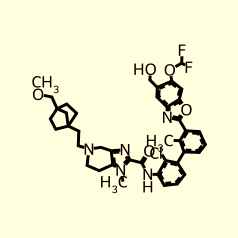 COCC12CCC(CCN3CCc4c(nc(C(=O)Nc5cccc(-c6cccc(-c7nc8cc(CO)c(OC(F)F)cc8o7)c6C)c5Cl)n4C)C3)(CC1)C2